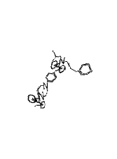 CC(C)CN(CCc1ccccc1)S(=O)(=O)c1ccc(N2CCN(S(C)(=O)=O)CC2)cc1